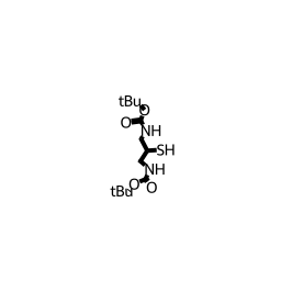 CC(C)(C)OC(=O)NCC(S)CNC(=O)OC(C)(C)C